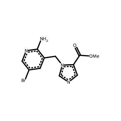 COC(=O)c1cncn1Cc1cc(Br)cnc1N